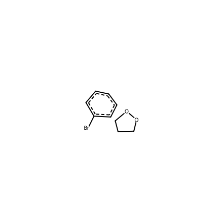 Brc1ccccc1.C1COOC1